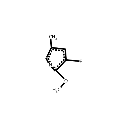 COc1ncc(C)cc1F